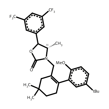 COc1ccc(C(C)(C)C)cc1C1=C(CN2C(=O)OC(c3cc(C(F)(F)F)cc(C(F)(F)F)c3)[C@@H]2C)CC(C)(C)CC1